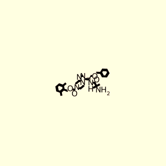 Cc1cccc(C)c1COC(=O)N1CCn2c(nnc2[C@@H](COCc2ccccc2)NC(=O)C(C)(C)N)C1